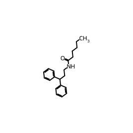 CCCCCC(=O)NCCC(c1ccccc1)c1ccccc1